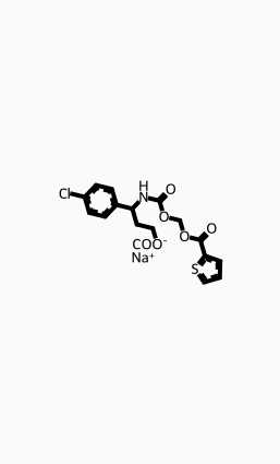 O=C([O-])CCC(NC(=O)OCOC(=O)c1cccs1)c1ccc(Cl)cc1.[Na+]